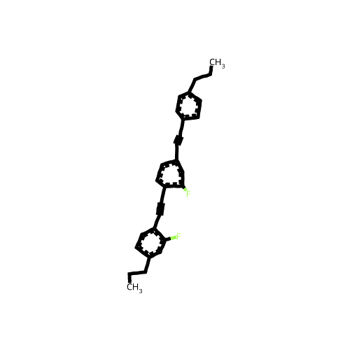 CCCc1ccc(C#Cc2ccc(C#Cc3ccc(CCC)cc3F)c(F)c2)cc1